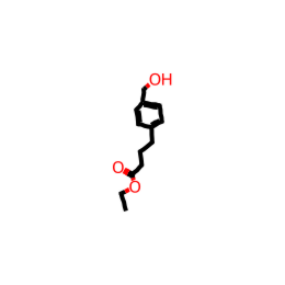 CCOC(=O)CCCc1ccc(CO)cc1